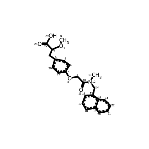 COC(Cc1ccc(OCC(=O)N(C)Cc2cccc3ccccc23)cc1)C(=O)O